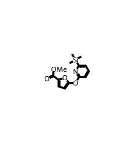 COC(=O)c1ccc(Oc2cccc([Si](C)(C)C)n2)o1